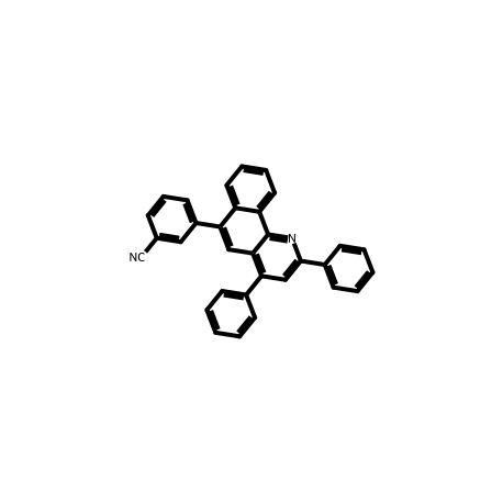 N#Cc1cccc(-c2cc3c(-c4ccccc4)cc(-c4ccccc4)nc3c3ccccc23)c1